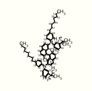 CCCCCCCCc1ccc(N(c2cccc(C(C)(C)C)c2)c2ccc3ccc(C)c(-c4c(C)ccc5ccc(N(c6ccc(CCCCCCCC)cc6)c6cccc(C(C)(C)C)c6)cc45)c3c2)cc1